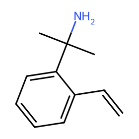 C=Cc1ccccc1C(C)(C)N